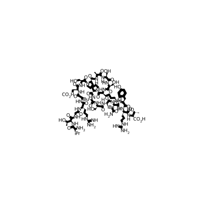 CC[C@H](C)[C@H](NC(=O)[C@H](CO)NC(=O)[C@@H](NC(=O)[C@@H]1CCCN1C(=O)[C@H](CCCCN)NC(=O)[C@H](CO)NC(=O)[C@H](CO)NC(=O)[C@H](C)NC(=O)[C@@H]1CCCN1C(=O)[C@H](CO)NC(=O)[C@H](CC(=O)O)NC(=O)CNC(=O)[C@H](CCCNC(=N)N)NC(=O)CNC(=O)[C@@H](NC(=O)[C@@H](N)C(C)C)[C@@H](C)O)[C@@H](C)CC)C(=O)N[C@@H](CC(N)=O)C(=O)N[C@@H](Cc1ccc(O)cc1)C(=O)N[C@@H](CCCNC(=N)N)C(=O)N[C@H](C(=O)O)[C@@H](C)O